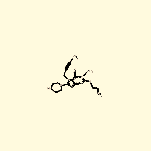 CC#CCn1c(N2CCNCC2)nc2nc(SCCN)n(C)c(=O)c21